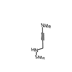 CNC#CCNSC